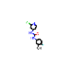 N#Cc1cc(NC(=O)Nc2ccnc(Cl)c2)ccc1F